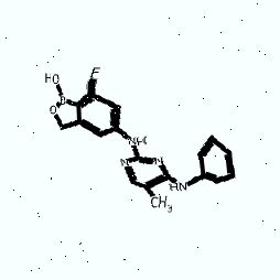 Cc1cnc(Nc2cc(F)c3c(c2)COB3O)nc1Nc1ccccc1